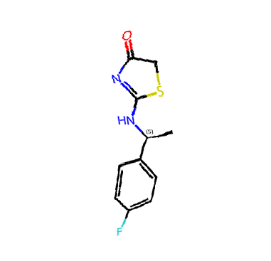 C[C@H](NC1=NC(=O)CS1)c1ccc(F)cc1